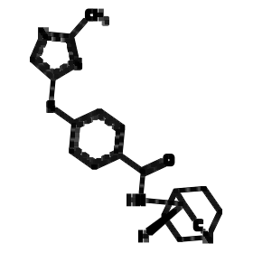 Cc1ncc(Sc2ccc(C(=O)N[C@H]3CN4CCC3CC4)cc2)s1